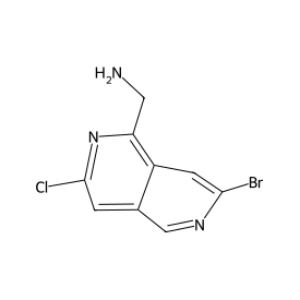 NCc1nc(Cl)cc2cnc(Br)cc12